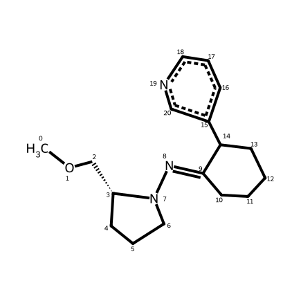 COC[C@H]1CCCN1N=C1CCCCC1c1cccnc1